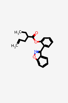 C=CCC(CC)C(=O)Oc1ccccc1-c1noc2ccccc12